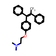 CN(C)CCOc1ccc(C(=C(c2ccccc2)C(F)(F)F)c2ccccc2)cc1